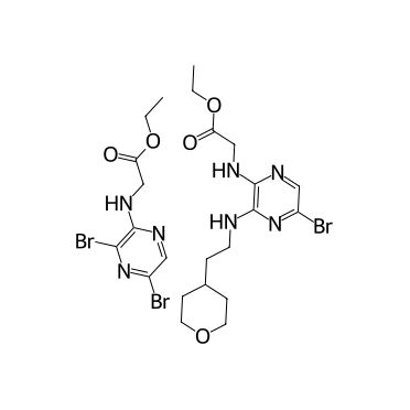 CCOC(=O)CNc1ncc(Br)nc1Br.CCOC(=O)CNc1ncc(Br)nc1NCCC1CCOCC1